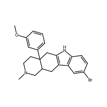 COc1cccc(C23CCN(C)CC2Cc2c([nH]c4ccc(Br)cc24)C3)c1